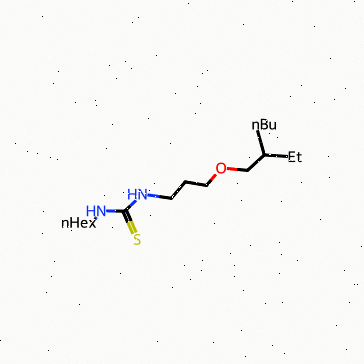 CCCCCCNC(=S)NCCCOCC(CC)CCCC